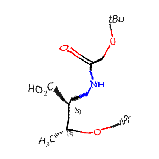 CCCO[C@H](C)[C@H](NC(=O)OC(C)(C)C)C(=O)O